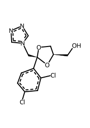 OC[C@@H]1CO[C@@](Cn2cnnc2)(c2ccc(Cl)cc2Cl)O1